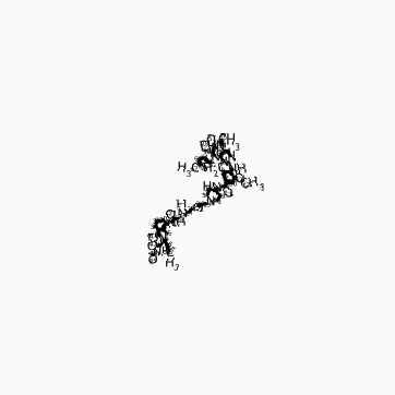 C=NC1=C(/C=N\CNc2ccc(C(=O)NC3CCN(CCOCCNCC(=O)Nc4cccc5c4CN(C(CCC)C(=O)NC=O)C5=O)CC3)cc2OC)N(C)C(=O)[C@@H](CC)N1Cc1ccc(C)s1